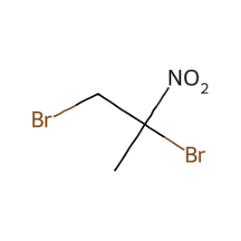 CC(Br)(CBr)[N+](=O)[O-]